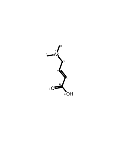 C[As](C)CC=CC(=O)O